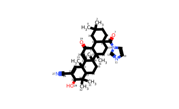 CC1(C)CCC2(C(=O)n3ccnc3)CCC3(C)C(C(=O)C=C4C5(C)C=C(C#N)C(O)C(C)(C)C5CCC43C)C2C1